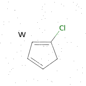 ClC1=CC=CC1.[W]